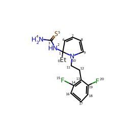 CCC1(NC(N)=S)C=CC=CN1CCc1c(F)cccc1F